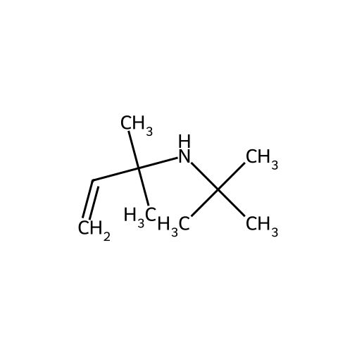 C=CC(C)(C)NC(C)(C)C